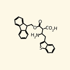 NC(Cc1csc2ccccc12)[C@H](C(=O)O)C(=O)OCC1c2ccccc2-c2ccccc21